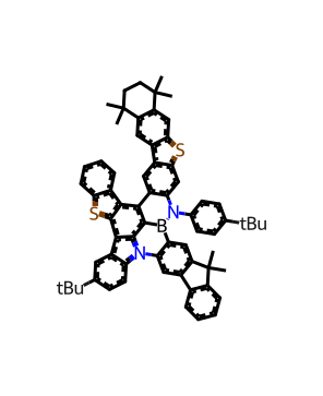 CC(C)(C)c1ccc(N2B3c4cc5c(cc4-n4c6ccc(C(C)(C)C)cc6c6c7sc8ccccc8c7c(c3c64)-c3cc4c(cc32)sc2cc3c(cc24)C(C)(C)CCC3(C)C)-c2ccccc2C5(C)C)cc1